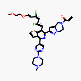 C=CC(=O)N1CCn2nc(-c3nc(-c4cnc(N5CCN(C)CC5)nc4)c4ccsc4c3/C=C(F)/C=C(F)\C=C\OCCOC)cc2C1